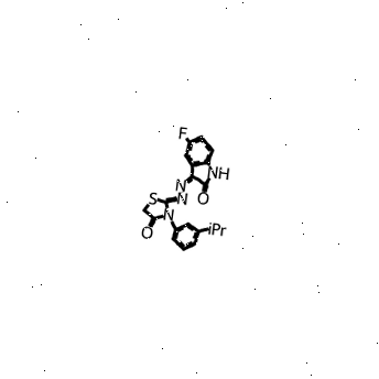 CC(C)c1cccc(N2C(=O)CSC2=NN=C2C(=O)Nc3ccc(F)cc32)c1